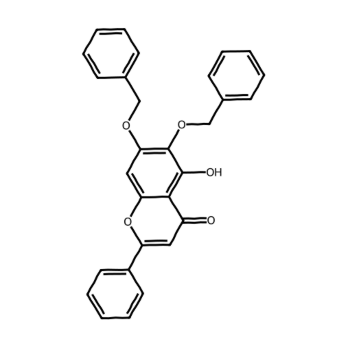 O=c1cc(-c2ccccc2)oc2cc(OCc3ccccc3)c(OCc3ccccc3)c(O)c12